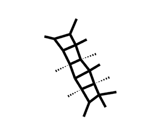 CC1C(C)C2(C)C1[C@]1(C)C3C(C)([C@]21C)[C@@]1(C)C(C)(C)C(C)[C@@]31C